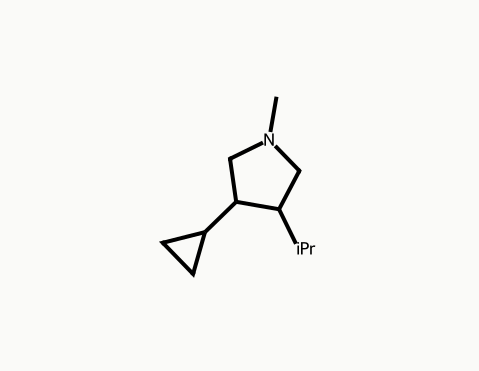 CC(C)C1CN(C)CC1C1CC1